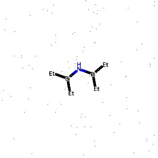 C[CH2][Bi]([CH2]C)[NH][Bi]([CH2]C)[CH2]C